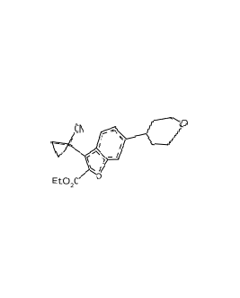 CCOC(=O)c1oc2cc(C3CCOCC3)ccc2c1C1(C#N)CC1